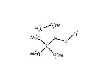 CCOC[Si](OC)(OC)OC.CNC